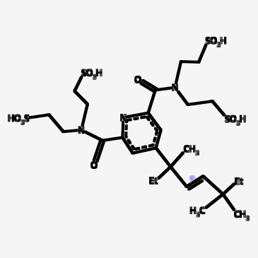 CCC(C)(C)/C=C/C(C)(CC)c1cc(C(=O)N(CCS(=O)(=O)O)CCS(=O)(=O)O)nc(C(=O)N(CCS(=O)(=O)O)CCS(=O)(=O)O)c1